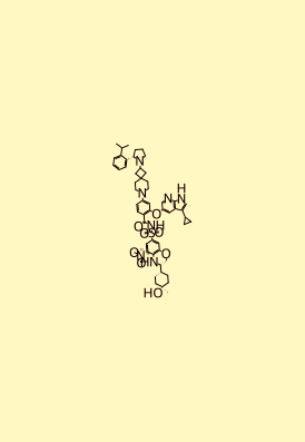 CC(C)c1ccccc1[C@@H]1CCCN1C1CC2(CCN(c3ccc(C(=O)NS(=O)(=O)c4cc5c(c([N+](=O)[O-])c4)N[C@@H]([C@H]4CC[C@](C)(O)CC4)CO5)c(Oc4cnc5[nH]cc(C6CC6)c5c4)c3)CC2)C1